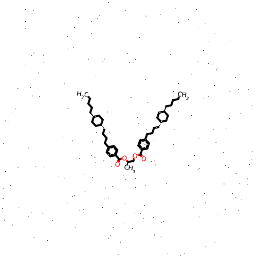 CCCCC[C@H]1CC[C@H](CCCCc2ccc(C(=O)OC[C@@H](C)OC(=O)c3ccc(CCCC[C@H]4CC[C@H](CCCCC)CC4)cc3)cc2)CC1